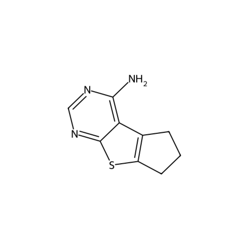 Nc1ncnc2sc3c(c12)CCC3